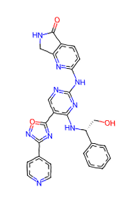 O=C1NCc2nc(Nc3ncc(-c4nc(-c5ccncc5)no4)c(N[C@H](CO)c4ccccc4)n3)ccc21